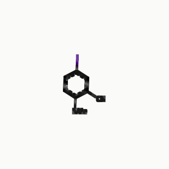 CNc1ccc(I)cc1C#N